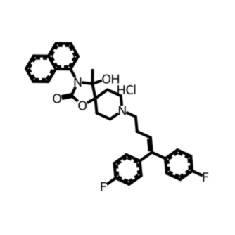 CC1(O)N(c2cccc3ccccc23)C(=O)OC12CCN(CCC=C(c1ccc(F)cc1)c1ccc(F)cc1)CC2.Cl